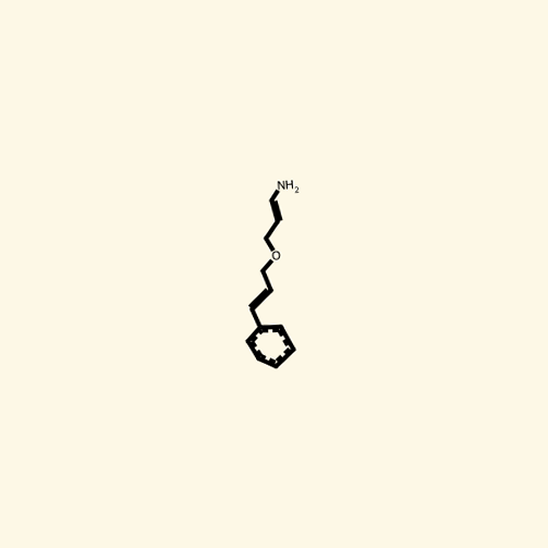 NC=CCOCC=Cc1ccccc1